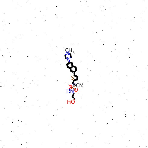 CN1CCN(c2ccc3cc(-c4ccc(/C=C(\C#N)S(=O)(=O)NCCCO)s4)ccc3c2)CC1